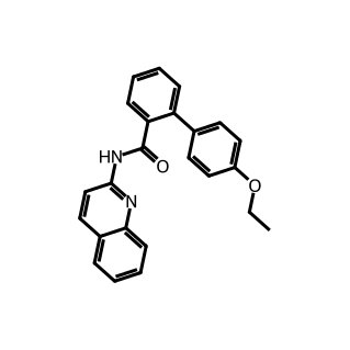 CCOc1ccc(-c2ccccc2C(=O)Nc2ccc3ccccc3n2)cc1